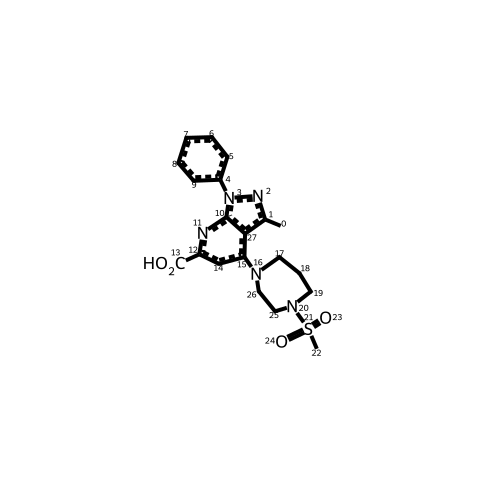 Cc1nn(-c2ccccc2)c2nc(C(=O)O)cc(N3CCCN(S(C)(=O)=O)CC3)c12